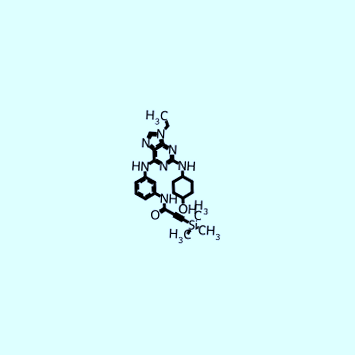 CCn1cnc2c(Nc3cccc(NC(=O)C#C[Si](C)(C)C)c3)nc(NC3CCC(O)CC3)nc21